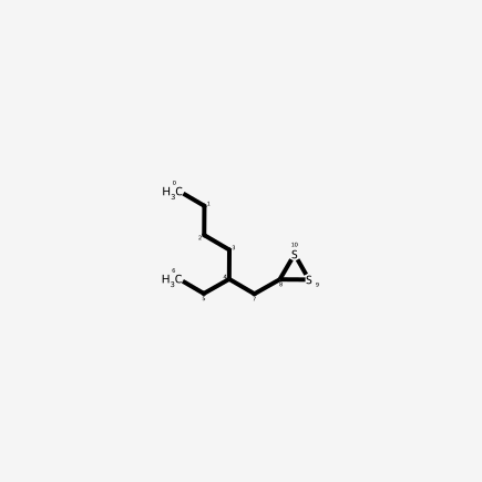 CCCCC(CC)CC1SS1